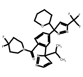 CC(C)C1(c2cc(C3(C4CCCCO4)C=C(C(F)(F)F)N=N3)ccc2C(=O)N2CCC(F)(F)CC2)C=CN=N1